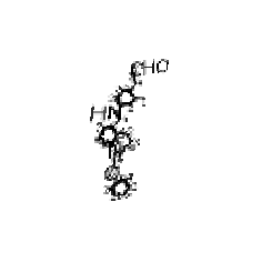 Cc1cc(NCc2cccc3c2CCCN3CCOc2ccccc2)ccc1CCC=O